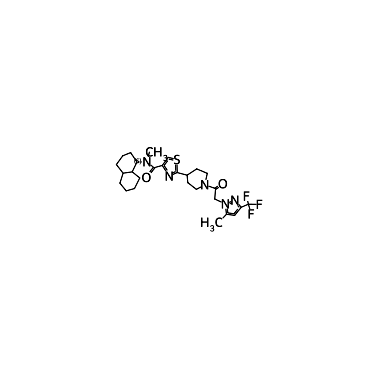 Cc1cc(C(F)(F)F)nn1CC(=O)N1CCC(c2nc(C(=O)N(C)[C@H]3CCCC4CCCCC43)cs2)CC1